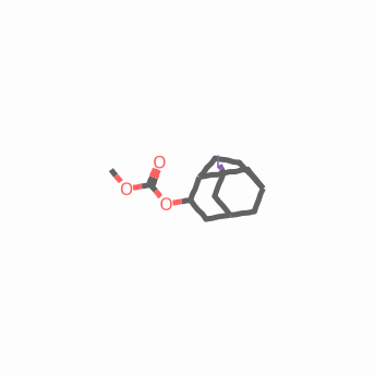 COC(=O)OC1CC2CC3CCC1C(I)(C3)C2